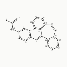 CC(=O)Nc1ccc(C=C2c3ccccc3C=Cc3ccccc32)cc1